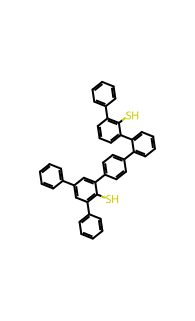 Sc1c(-c2ccccc2)cc(-c2ccccc2)cc1-c1ccc(-c2ccccc2-c2cccc(-c3ccccc3)c2S)cc1